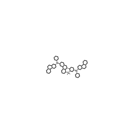 C[Si]1(C)c2cc(N(c3ccccc3)c3ccc4c(ccc5ccccc54)c3)ccc2-c2cc3ccc(N(c4ccccc4)c4ccc5c(ccc6ccccc65)c4)cc3c3cccc1c23